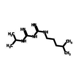 CC(C)CCCNC(=N)NC(=N)NC(C)C